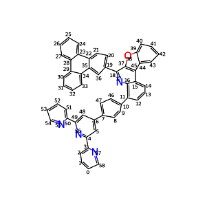 c1ccc(-c2cc(-c3ccc(-c4cccc5c4nc(-c4ccc6c7ccccc7c7ccccc7c6c4)c4oc6ccccc6c45)cc3)cc(-c3ccccn3)n2)nc1